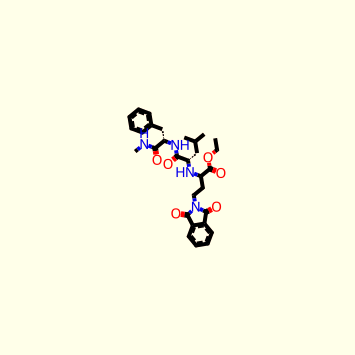 CCOC(=O)C(CCN1C(=O)c2ccccc2C1=O)N[C@@H](CC(C)C)C(=O)N[C@@H](Cc1ccccc1)C(=O)NC